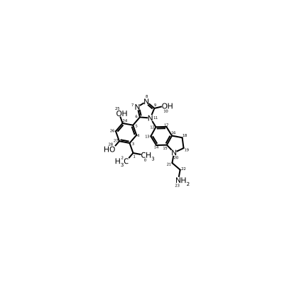 CC(C)c1cc(-c2nnc(O)n2-c2ccc3c(c2)CCN3CCN)c(O)cc1O